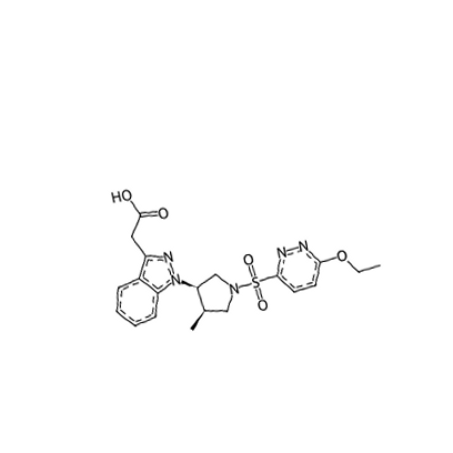 CCOc1ccc(S(=O)(=O)N2C[C@@H](C)[C@@H](n3nc(CC(=O)O)c4ccccc43)C2)nn1